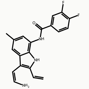 C=Cc1[nH]c2c(NC(=O)c3ccc(F)c(F)c3)cc(C)cc2c1/C=C\N